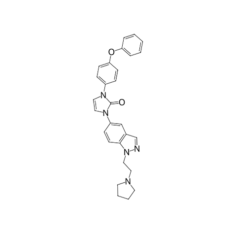 O=c1n(-c2ccc(Oc3ccccc3)cc2)ccn1-c1ccc2c(cnn2CCN2CCCC2)c1